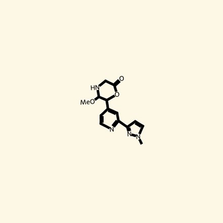 COC1NCC(=O)OC1c1ccnc(-c2ccn(C)n2)c1